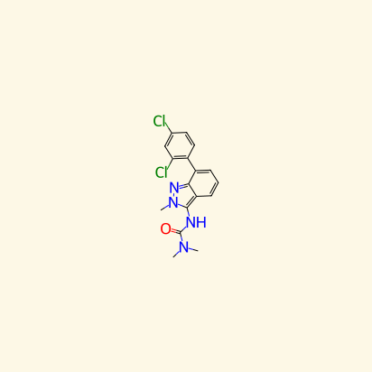 CN(C)C(=O)Nc1c2cccc(-c3ccc(Cl)cc3Cl)c2nn1C